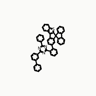 c1ccc(-c2cccc(-c3nc(-c4ccccc4)nc(-c4ccccc4-c4ccc5c(c4)C4(c6ccccc6-c6ccccc64)c4sc6ccccc6c4-5)n3)c2)cc1